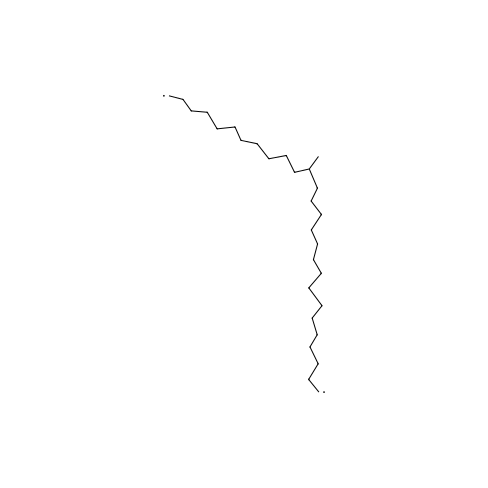 [CH2]CCCCCCCCCCCCCCC(C)CCCCCCCCCC[CH2]